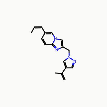 C=C(C)c1cnn(Cc2cn3cc(/C=C\C)ccc3n2)c1